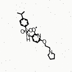 COc1nc(OCCN2CCCC2)ccc1NS(=O)(=O)c1ccc(C(C)C)cc1